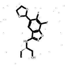 CC[C@@H](CO)Nc1noc2c(F)c(F)c(C3OCCO3)cc12